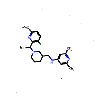 COc1ccc(F)c(C(C)N2CCCC(CNc3cc(C)nc(C(F)(F)F)c3)C2)n1